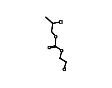 CC(Cl)COC(=O)OCCCl